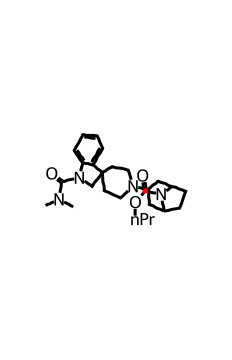 CCCOC(=O)N1C2CCC1CC(N1CCC3(CC1)CN(C(=O)N(C)C)c1ccccc13)C2